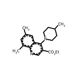 CCOC(=O)c1cnc2c(C)cc(C)cc2c1N1CCC(C)CC1